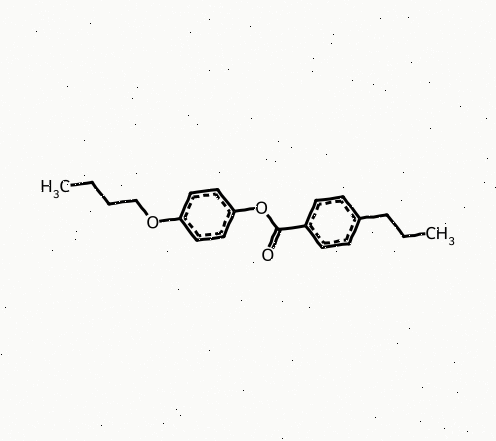 CCCCOc1ccc(OC(=O)c2ccc(CCC)cc2)cc1